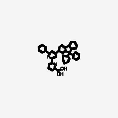 OB(O)c1cccc(-c2cc(-c3ccc4c(c3)C(c3ccccc3)(c3ccccc3)c3ccccc3-4)cc(-c3ccccc3)n2)n1